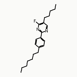 CCCCCCCc1ccc(-c2ncc(CCCCC)c(F)n2)cc1